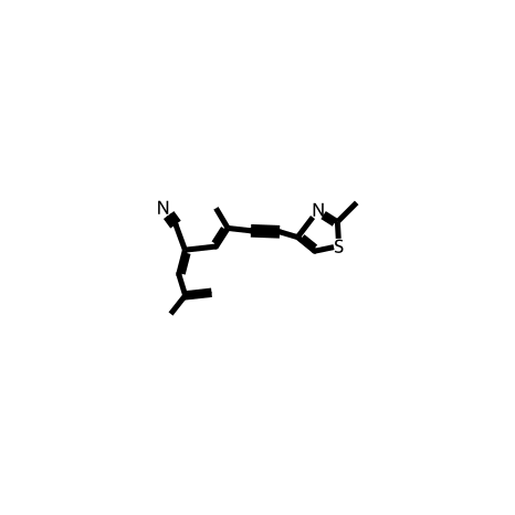 C=C(C)/C=C(C#N)\C=C(/C)C#Cc1csc(C)n1